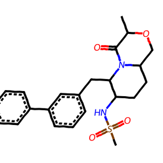 CC1OCC2CCC(NS(C)(=O)=O)C(Cc3cccc(-c4cccc(F)c4)c3)N2C1=O